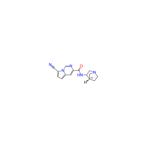 N#Cc1ccc2cc(C(=O)NC3CN4CC[C@H]3C4)ncn12